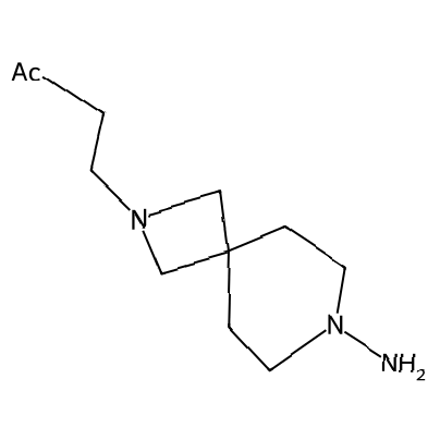 CC(=O)CCN1CC2(CCN(N)CC2)C1